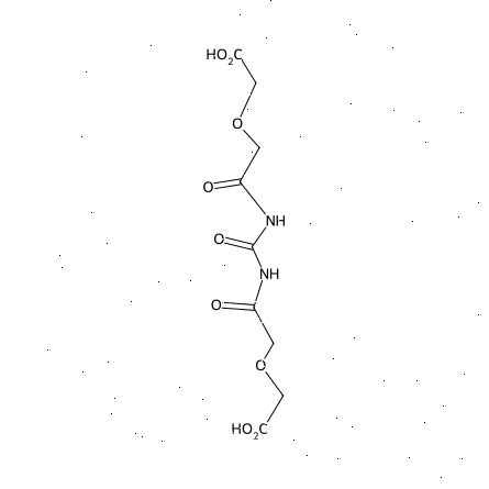 O=C(O)COCC(=O)NC(=O)NC(=O)COCC(=O)O